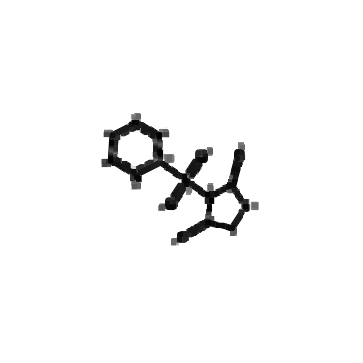 O=C1CSC(=O)N1S(=O)(=O)c1ccccn1